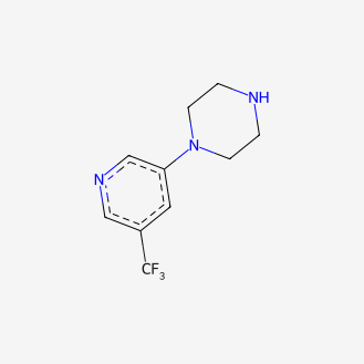 FC(F)(F)c1cncc(N2CCNCC2)c1